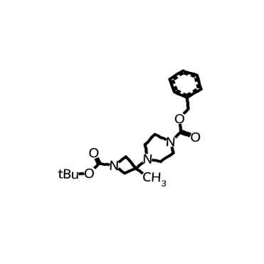 CC(C)(C)OC(=O)N1CC(C)(N2CCN(C(=O)OCc3ccccc3)CC2)C1